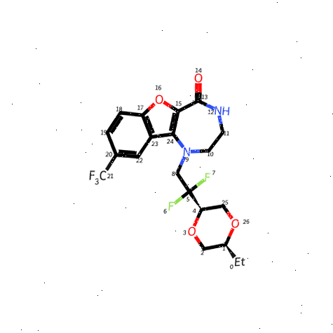 CC[C@H]1CO[C@@H](C(F)(F)CN2CCNC(=O)c3oc4ccc(C(F)(F)F)cc4c32)CO1